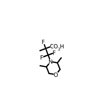 CC1COCC(C)N1C(F)(F)C(C)(F)C(=O)O